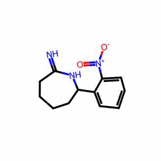 N=C1CCCCC(c2ccccc2[N+](=O)[O-])N1